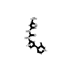 Cc1cnccc1-c1csc(NC(=O)Nc2cc(C(C)(C)C)on2)c1